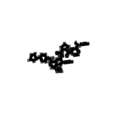 CN[C@@H](C)C(=O)N[C@H](C(=O)N1CCCC1C(=O)Nc1cc2c(Nc3ccc(N4CCCC4)cc3)ncnc2cc1OC)C(C)(C)C.Cl.Cl